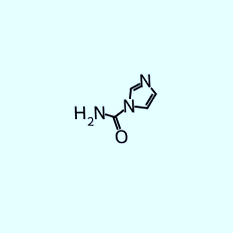 NC(=O)n1ccnc1